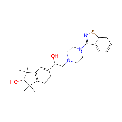 CC1(C)c2ccc(C(O)CN3CCN(c4nsc5ccccc45)CC3)cc2C(C)(C)C1O